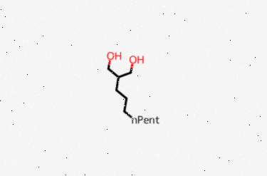 CCCCCCCCC(CO)CO